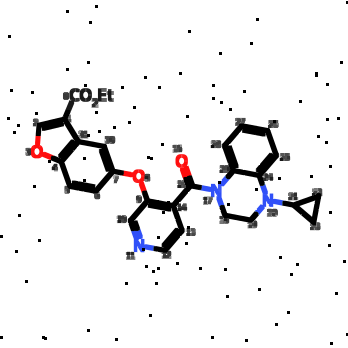 CCOC(=O)c1coc2ccc(Oc3cnccc3C(=O)N3CCN(C4CC4)c4ccccc43)cc12